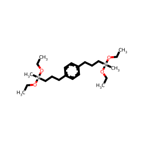 CCO[Si](C)(CCCc1ccc(CCC[Si](C)(OCC)OCC)cc1)OCC